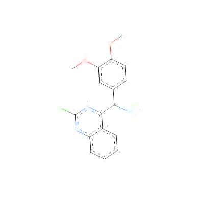 COc1ccc(C(N)c2nc(Cl)nc3ccccc23)cc1OC.Cl